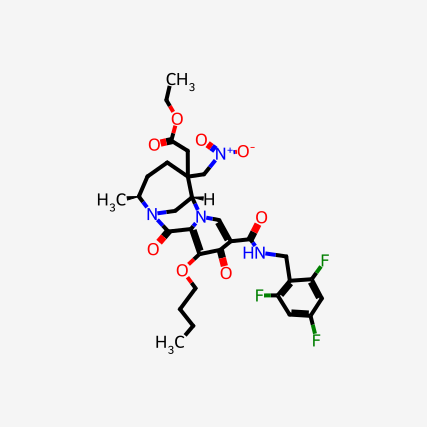 CCCCOc1c2n(cc(C(=O)NCc3c(F)cc(F)cc3F)c1=O)[C@@H]1CN(C2=O)[C@@H](C)CCC1(CC(=O)OCC)C[N+](=O)[O-]